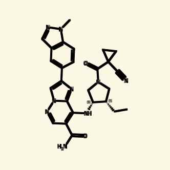 CC[C@H]1CN(C(=O)C2(C#N)CC2)C[C@H]1Nc1c(C(N)=O)cnn2cc(-c3ccc4c(cnn4C)c3)nc12